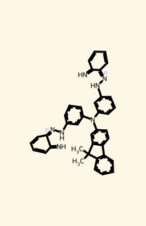 CC1(C)c2ccccc2-c2ccc(N(c3cccc(N/N=C4/C=CC=CC4=N)c3)c3cccc(N/N=C4/C=CC=CC4=N)c3)cc21